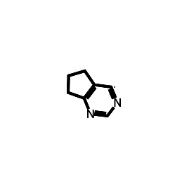 [c]1ncnc2c1CCC2